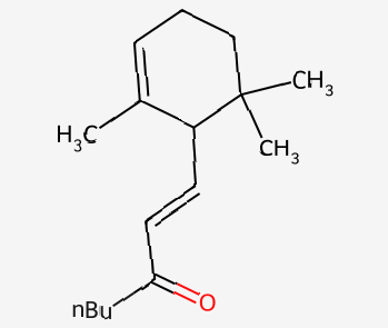 CCCCC(=O)/C=C/C1C(C)=CCCC1(C)C